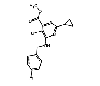 COC(=O)c1nc(C2CC2)nc(NCc2ccc(Cl)cc2)c1Cl